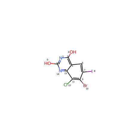 Oc1nc(O)c2cc(I)c(Br)c(Cl)c2n1